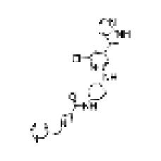 O=C(NC1CCC(Nc2cc(-c3c[nH]c4ncccc34)cc(Cl)n2)CC1)C1CN(Cc2cccnc2)C1